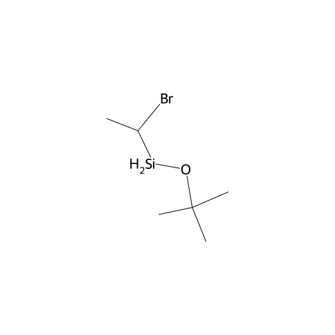 CC(Br)[SiH2]OC(C)(C)C